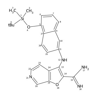 CC(C)(C)[Si](C)(C)Oc1cccc2cc(Nc3c(C(=N)N)oc4cnccc34)ccc12